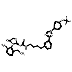 CCc1cccc(C)c1N1C(=O)CSC1=NC(=O)NCCCCc1cccc(-c2ncn(-c3ccc(OC(F)(F)F)cc3)n2)c1